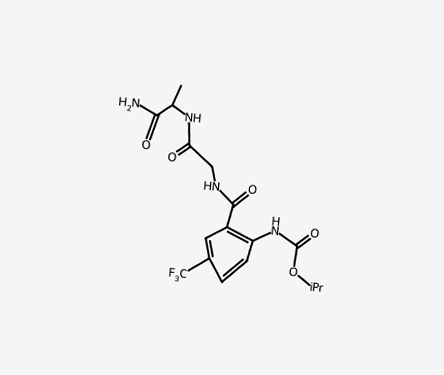 CC(C)OC(=O)Nc1ccc(C(F)(F)F)cc1C(=O)NCC(=O)NC(C)C(N)=O